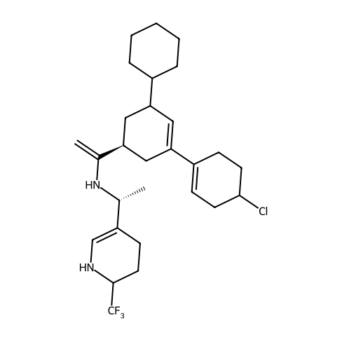 C=C(N[C@H](C)C1=CNC(C(F)(F)F)CC1)[C@@H]1CC(C2=CCC(Cl)CC2)=CC(C2CCCCC2)C1